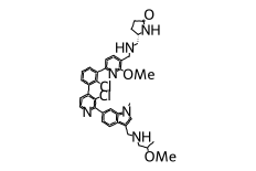 COc1nc(-c2cccc(-c3ccnc(-c4ccc5c(CNCC(C)OC)cn(C)c5c4)c3Cl)c2Cl)ccc1CNC[C@@H]1CCC(=O)N1